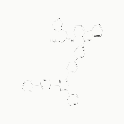 CCc1nc2c3c(-c4ccc(-c5ccc(-c6cc(-c7ccc(-c8ccccc8)cc7)nc(-c7ccccc7)n6)cc5)cc4)nc4ccccc4c3ccc2n1-c1ccccc1